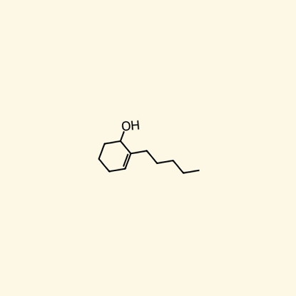 CCCCCC1=CCCCC1O